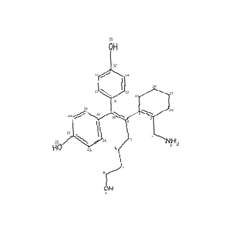 NCC1=C(C(CCCCO)=C(c2ccc(O)cc2)c2ccc(O)cc2)CCCC1